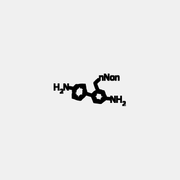 CCCCCCCCCCc1cc(N)ccc1-c1ccc(N)cc1